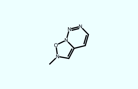 CN1C=C2C=CN=NN2O1